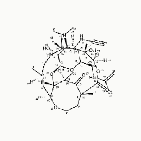 C#CN[C@@H]1[C@@H](C)NC[C@H](C)C[C@]2(C)OCC[C@@](C)(C(=O)O[C@H](CC)[C@@]1(C)O)C(=O)[C@H](C)[C@H]2O[C@@H]1O[C@H](CNC(=C)CC)C[C@H](N(C)C)[C@H]1O